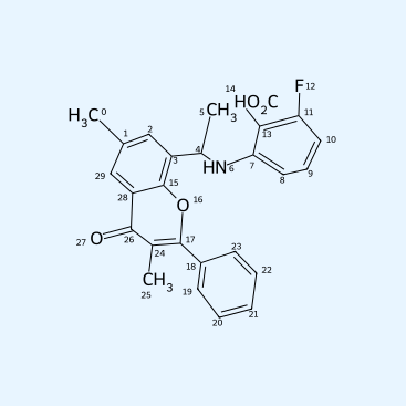 Cc1cc(C(C)Nc2cccc(F)c2C(=O)O)c2oc(-c3ccccc3)c(C)c(=O)c2c1